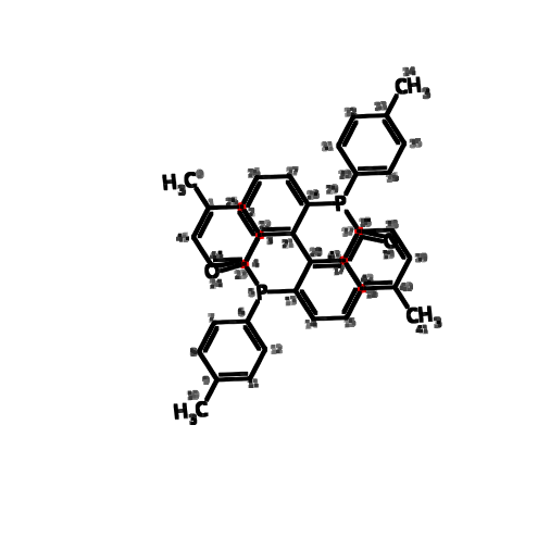 Cc1ccc(P(c2ccc(C)cc2)c2cccc(C=O)c2-c2c(C=O)cccc2P(c2ccc(C)cc2)c2ccc(C)cc2)cc1